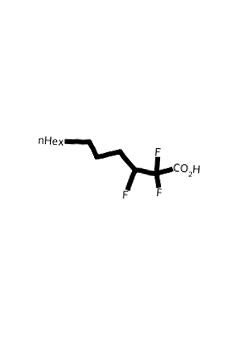 CCCCCCCCCC(F)C(F)(F)C(=O)O